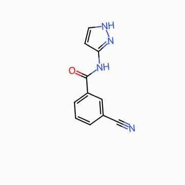 N#Cc1cccc(C(=O)Nc2cc[nH]n2)c1